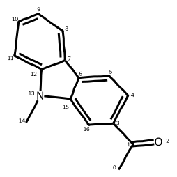 CC(=O)c1ccc2c3ccccc3n(C)c2c1